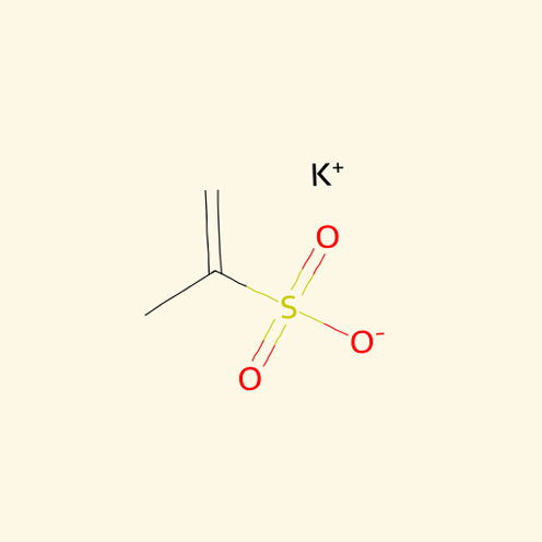 C=C(C)S(=O)(=O)[O-].[K+]